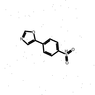 O=[SH](=O)c1ccc(-c2cnco2)cc1